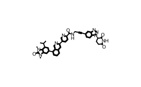 CC(C)c1cc(-c2cccc3cc(-c4ccc(C(=O)NCC#Cc5ccc6c(c5)nnn6C5CCC(=O)NC5=O)nc4)ncc23)cc2c1n(C)c(=O)n2C